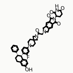 O=C1CCC(N2C(=O)c3cc4c(cc3C2=O)CN(CC(=O)N2CC3(CCN(c5ccc([C@@H]6c7ccc(O)cc7CC[C@@H]6c6ccccc6)c(F)c5)CC3)C2)C4)C(=O)N1